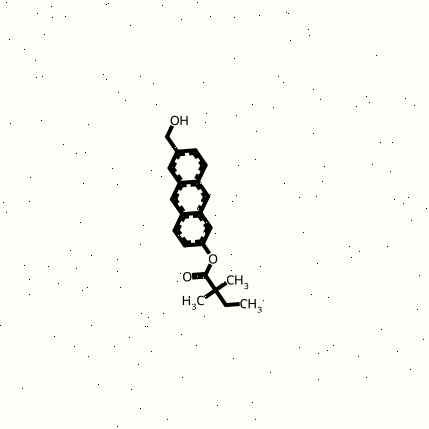 CCC(C)(C)C(=O)Oc1ccc2cc3cc(CO)ccc3cc2c1